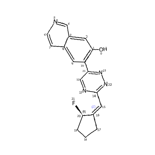 Oc1cc2cnccc2cc1-c1cnc(/C=C2/CCC[C@H]2F)nn1